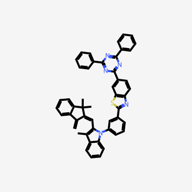 C=C1/C(=C\c2c(C)c3ccccc3n2-c2cccc(-c3nc4ccc(-c5nc(-c6ccccc6)nc(-c6ccccc6)n5)cc4s3)c2)C(C)(C)c2ccccc21